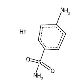 F.Nc1ccc(S(N)(=O)=O)cc1